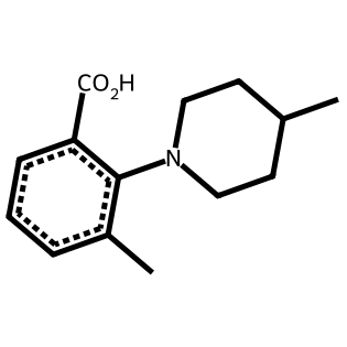 Cc1cccc(C(=O)O)c1N1CCC(C)CC1